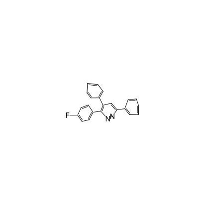 Fc1ccc(-c2nnc(-c3ccccc3)cc2-c2ccccc2)cc1